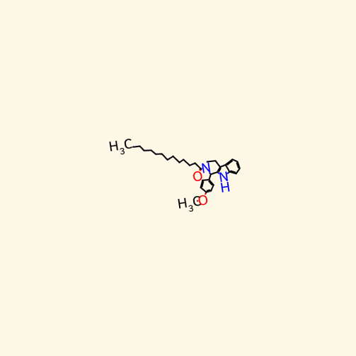 CCCCCCCCCCCCCC(=O)N1CCc2c([nH]c3ccccc23)C1c1ccc(OC)cc1